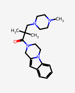 CN1CCN(CC(C)(C)C(=O)N2CCn3c(cc4ccccc43)C2)CC1